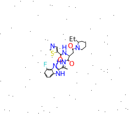 CCC1CCCCN1C(=O)CC(NC(=O)c1cncs1)C(=O)N[C@@H](C)c1nc2c(F)cccc2[nH]1